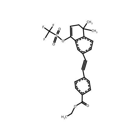 CCOC(=O)c1ccc(C#Cc2ccc3c(c2)C(OS(=O)(=O)C(F)(F)F)=CCC3(C)C)cc1